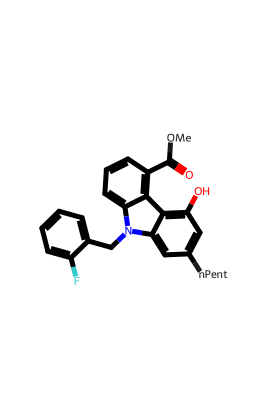 CCCCCc1cc(O)c2c3c(C(=O)OC)cccc3n(Cc3ccccc3F)c2c1